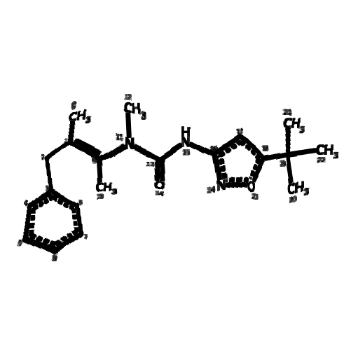 CC(Cc1ccccc1)=C(C)N(C)C(=O)Nc1cc(C(C)(C)C)on1